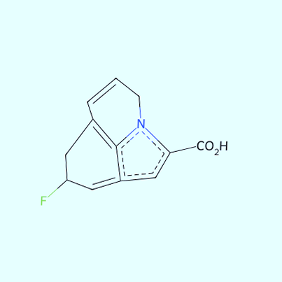 O=C(O)c1cc2c3n1CC=CC=3CC(F)C=2